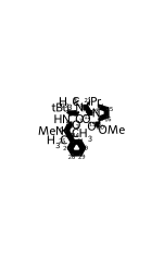 CN[C@H](C(=O)N[C@H](C(=O)N(C)[C@H](C(=O)N1CCC[C@H]1C(=O)OC)C(C)C)C(C)(C)C)C(C)(C)c1ccccc1